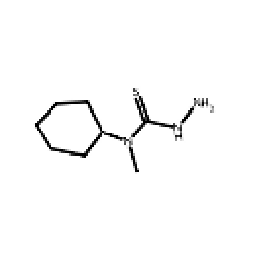 CN(C(=S)NN)C1CCCCC1